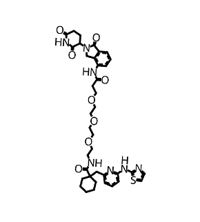 O=C1CCC(N2Cc3c(NC(=O)CCOCCOCCOCCNC(=O)C4(Cc5cccc(Nc6nccs6)n5)CCCCC4)cccc3C2=O)C(=O)N1